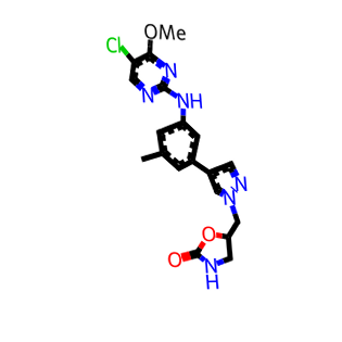 COc1nc(Nc2cc(C)cc(-c3cnn(CC4CNC(=O)O4)c3)c2)ncc1Cl